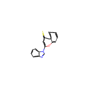 S=c1cc(-n2cnc3ccccc32)oc2ccccc12